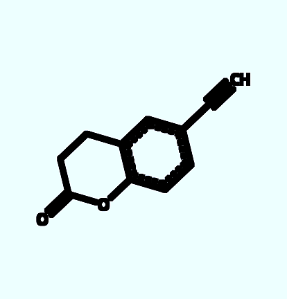 C#Cc1ccc2c(c1)CCC(=O)O2